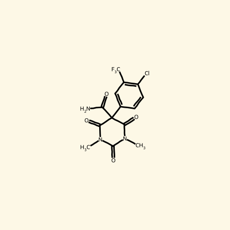 CN1C(=O)N(C)C(=O)C(C(N)=O)(c2ccc(Cl)c(C(F)(F)F)c2)C1=O